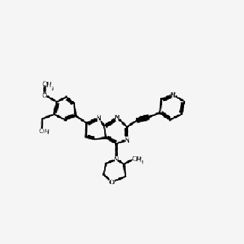 COc1ccc(-c2ccc3c(N4CCOCC4C)nc(C#Cc4cccnc4)nc3n2)cc1CO